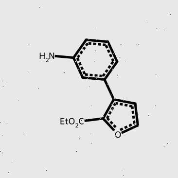 CCOC(=O)c1occc1-c1cccc(N)c1